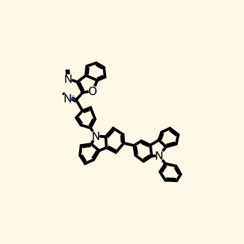 C=Nc1c(/C(=N\C)c2ccc(-n3c4ccccc4c4cc(-c5ccc6c(c5)c5ccccc5n6-c5ccccc5)ccc43)cc2)oc2ccccc12